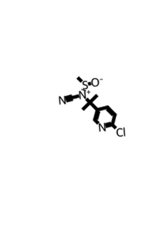 CS([O-])=[N+](C#N)C(C)(C)c1ccc(Cl)nc1